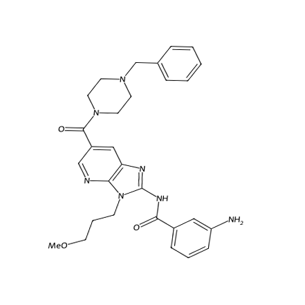 COCCCn1c(NC(=O)c2cccc(N)c2)nc2cc(C(=O)N3CCN(Cc4ccccc4)CC3)cnc21